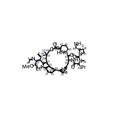 C=C/C(=C(\N=C/C)[C@H](C)OC)c1c2c3cc(ccc3n1CC)-c1csc(n1)C[C@H](NC(=O)[C@H](C(C)C)N(C)C(=O)N1CC[C@@H]1CN)C(=O)N1CCC[C@@](O)(N1)C(=O)OCC(C)(C)C2